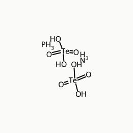 N.O=[Te](=O)(O)O.O=[Te](=O)(O)O.P